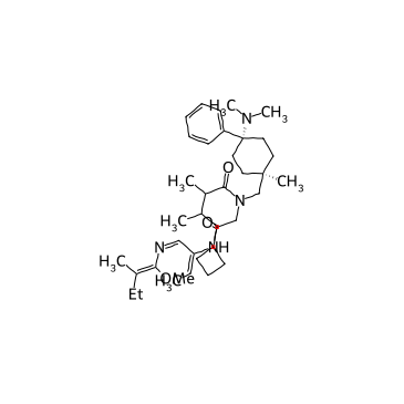 C\C=C(/C=N\C(OC)=C(/C)CC)NC(=O)CN(C[C@]1(C)CC[C@@](c2ccccc2)(N(C)C)CC1)C(=O)C(C)C(C)CC1CCC1